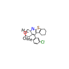 COC(=O)Cc1c(C)nc2sc3c(c2c1-c1cccc(Cl)c1)CCCC3